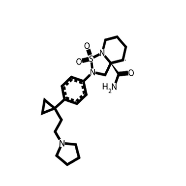 NC(=O)[C@]12[CH]CCCN1S(=O)(=O)N(c1ccc(C3(CCN4CCCC4)CC3)cc1)C2